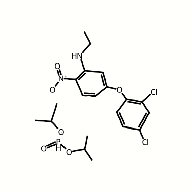 CC(C)O[PH](=O)OC(C)C.CCNc1cc(Oc2ccc(Cl)cc2Cl)ccc1[N+](=O)[O-]